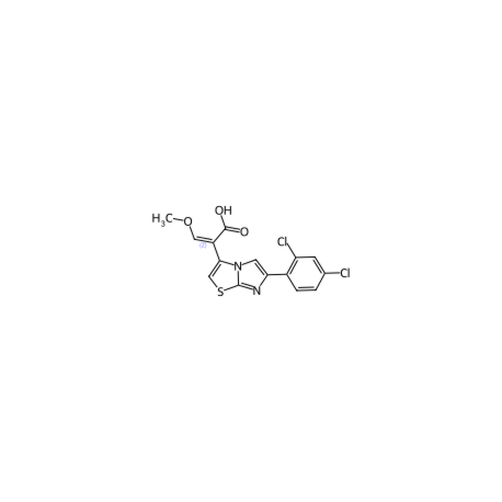 CO/C=C(\C(=O)O)c1csc2nc(-c3ccc(Cl)cc3Cl)cn12